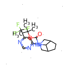 CC(C)(C)OC(=O)NC1C2CCC1CN(c1cc(C(F)(F)F)ncn1)C2